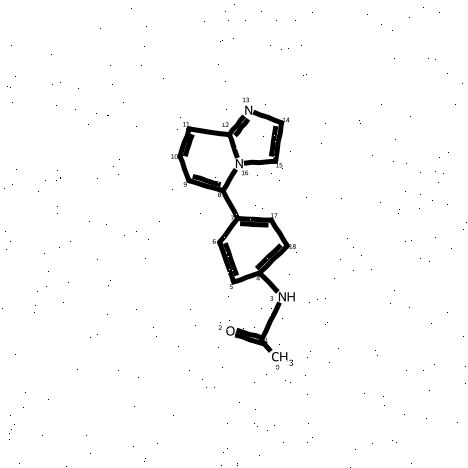 CC(=O)Nc1ccc(-c2cccc3nccn23)cc1